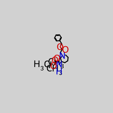 CC(C)(C)OC(=O)NC1CCCCN(CC(=O)OCc2ccccc2)C1=O